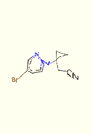 N#CCC1(n2cc(Br)cn2)CC1